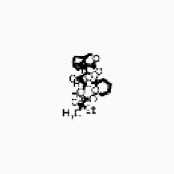 CCC(C)(C)C(=O)OCC(=O)OC1C2CC3C1OC(=O)C3(C(=O)OC1(C)CCCCO1)C2